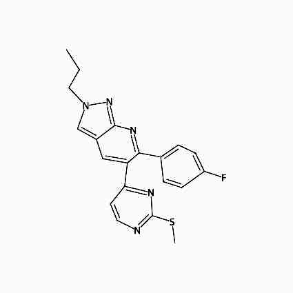 CCCn1cc2cc(-c3ccnc(SC)n3)c(-c3ccc(F)cc3)nc2n1